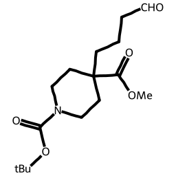 COC(=O)C1(CCCC=O)CCN(C(=O)OC(C)(C)C)CC1